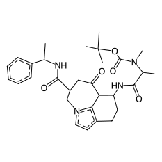 CC(NC(=O)C1CC(=O)C2c3c(ccn3C1)CCC2NC(=O)C(C)N(C)C(=O)OC(C)(C)C)c1ccccc1